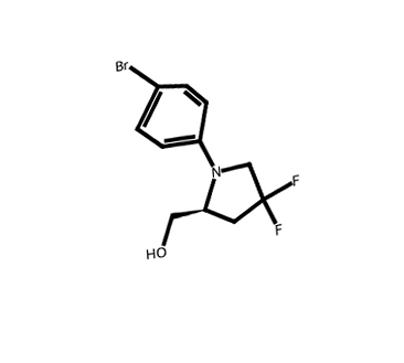 OC[C@@H]1CC(F)(F)CN1c1ccc(Br)cc1